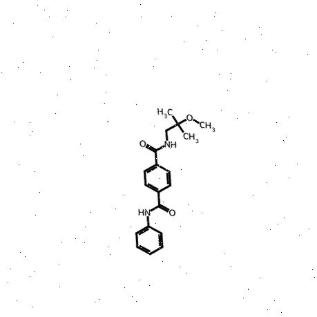 COC(C)(C)CNC(=O)c1ccc(C(=O)Nc2ccccc2)cc1